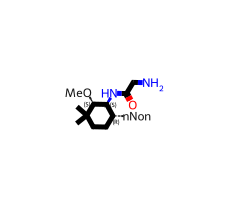 CCCCCCCCC[C@@H]1CCC(C)(C)[C@H](OC)[C@H]1NC(=O)CN